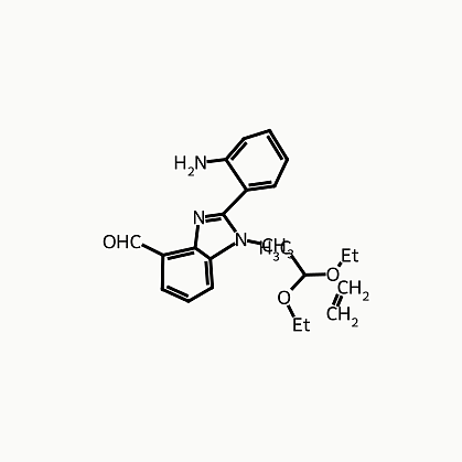 C=C.CCOC(C)OCC.Cn1c(-c2ccccc2N)nc2c(C=O)cccc21